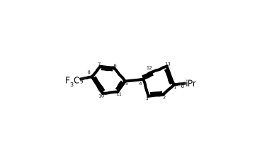 CC(C)c1ccc(-c2[c]cc(C(F)(F)F)cc2)cc1